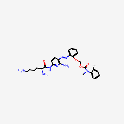 CCc1ccccc1N(C)C(=O)OCOc1ccccc1/N=N/c1ccc(NC(=O)[C@@H](N)CCCCN)nc1N